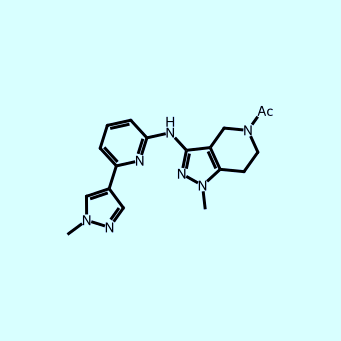 CC(=O)N1CCc2c(c(Nc3cccc(-c4cnn(C)c4)n3)nn2C)C1